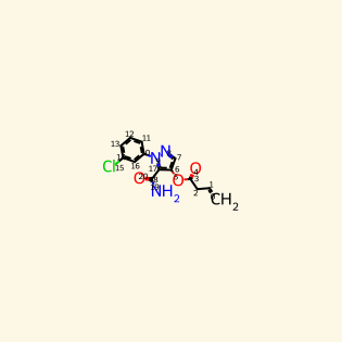 C=CCC(=O)Oc1cnn(-c2cccc(Cl)c2)c1C(N)=O